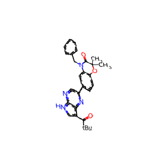 CC(C)(C)C(=O)c1c[nH]c2ncc(-c3ccc4c(c3)N(Cc3ccccc3)C(=O)C(C)(C)O4)nc12